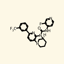 O=C(Nc1ccncc1F)N1c2nc(-c3cccc(C(F)(F)F)c3)ccc2N2CCC[C@H]1C2